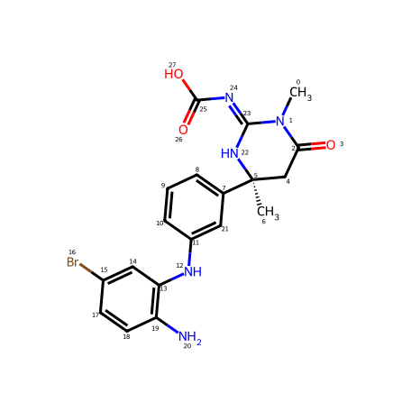 CN1C(=O)C[C@@](C)(c2cccc(Nc3cc(Br)ccc3N)c2)N/C1=N\C(=O)O